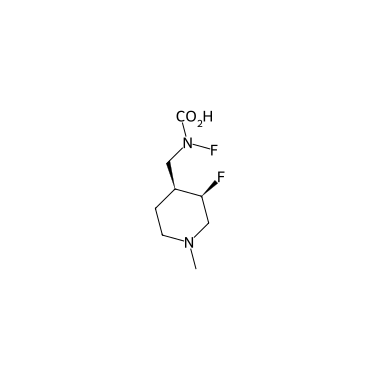 CN1CC[C@@H](CN(F)C(=O)O)[C@@H](F)C1